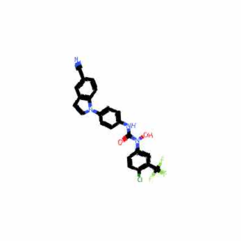 N#Cc1ccc2c(ccn2-c2ccc(NC(=O)N(O)c3ccc(Cl)c(C(F)(F)F)c3)cc2)c1